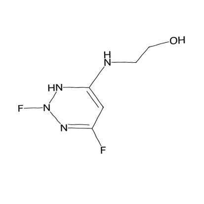 OCCNC1=CC(F)=NN(F)N1